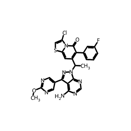 COc1ncc(-c2nn(C(C)c3cc4scc(Cl)n4c(=O)c3-c3cccc(F)c3)c3ncnc(N)c23)cn1